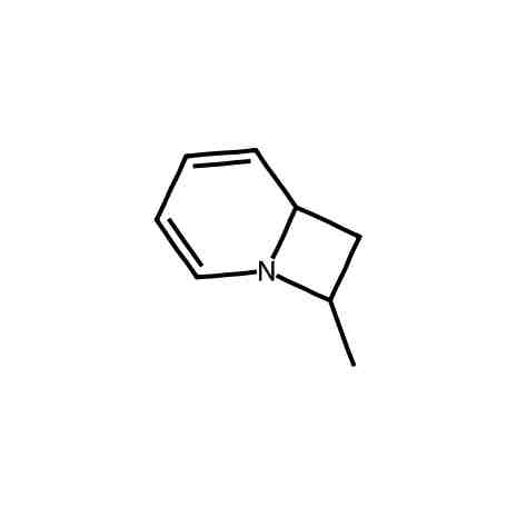 CC1CC2C=CC=CN12